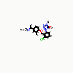 CON=C(C)c1ccc(OCc2c(Cl)cccc2-n2nnn(C)c2=O)c(C)c1